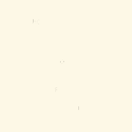 C#CCOc1[c]ccc(F)c1F